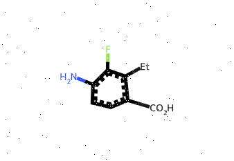 CCc1c(C(=O)O)ccc(N)c1F